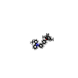 CC(C)(C)c1cccc2c1c1ccccc1n2-c1cccc(-c2ccc(C3C4C[C@H]5C[C@H](C4)C[C@H]3C5)cc2)c1